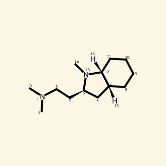 CN(C)CC[C@@H]1C[C@H]2CCCC[C@H]2N1C